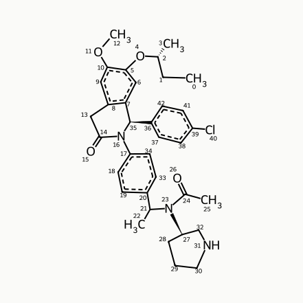 CC[C@@H](C)Oc1cc2c(cc1OC)CC(=O)N(c1ccc(C(C)N(C(C)=O)[C@@H]3CCCNC3)cc1)[C@@H]2c1ccc(Cl)cc1